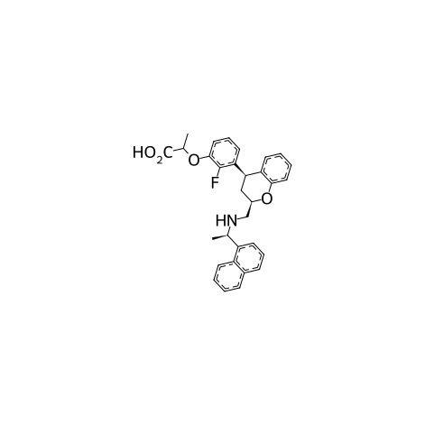 CC(Oc1cccc([C@@H]2C[C@H](CN[C@H](C)c3cccc4ccccc34)Oc3ccccc32)c1F)C(=O)O